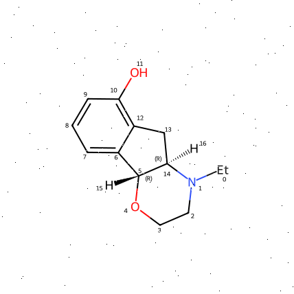 CCN1CCO[C@@H]2c3cccc(O)c3C[C@H]21